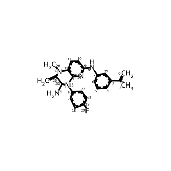 C=C(C)c1cccc(Nc2ccc3c(n2)N(c2ccc(F)cc2)C(N)C(=C)N3C)c1